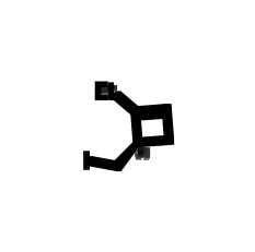 CCC1=CC[C@H]1CI